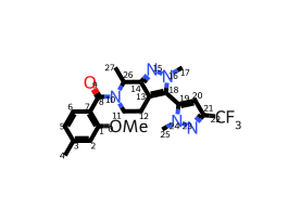 COc1cc(C)ccc1C(=O)N1CCc2c(nn(C)c2-c2cc(C(F)(F)F)nn2C)C1C